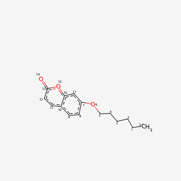 CCCCC[CH]Oc1ccc2ccc(=O)oc2c1